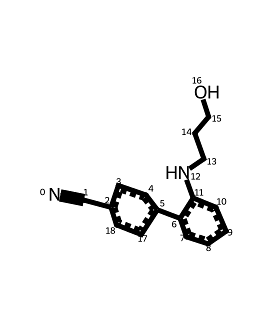 N#Cc1ccc(-c2ccccc2NCCCO)cc1